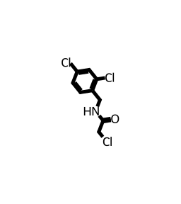 O=C(CCl)NCc1ccc(Cl)cc1Cl